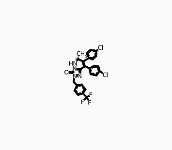 C[C@H]1Nn2c(nn(Cc3ccc(C(F)(F)F)cc3)c2=O)C(c2ccc(Cl)cc2)=C1c1ccc(Cl)cc1